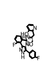 O=C(N[C@@H](CO)Cc1ncccc1O)c1cccc(F)c1-c1cc(-c2ccc(F)cc2)[nH]n1